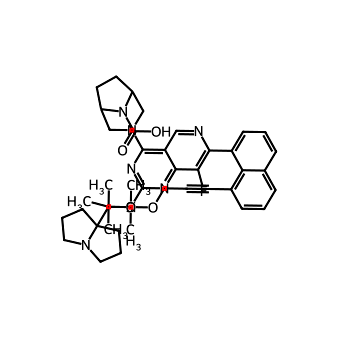 CC(C)(C)[Si](C)(C)OCC#Cc1cccc2cccc(-c3ncc4c(N5CC6CCC(C5)N6C(=O)O)nc(OCC56CCCN5CCC6)nc4c3F)c12